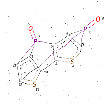 O=P12c3sc4c(c31)P1(=O)c3c-4sc2c31